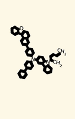 C=C(/C=C\C=C/C)n1c2ccccc2c2cc(N(c3ccc(-c4ccccc4)cc3)c3ccc(-c4ccc5c(ccc6oc7ccccc7c65)c4)cc3)ccc21